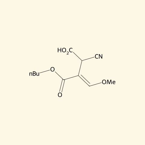 CCCCOC(=O)C(=COC)C(C#N)C(=O)O